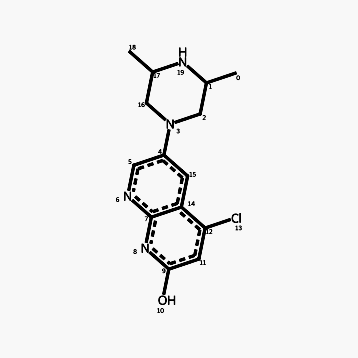 CC1CN(c2cnc3nc(O)cc(Cl)c3c2)CC(C)N1